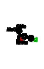 COc1ccc(C(=CC(=O)CNC(C)=O)c2ccc(-c3ccc(Cl)cc3)cc2)cc1OC